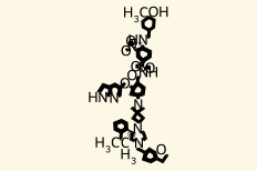 CC(C)c1ccccc1[C@@H]1CN(Cc2ccc3c(c2)OCC3)CCN1C1CC2(C1)CN(c1ccc(C(=O)NS(=O)(=O)c3ccc(NCC4CCC(C)(O)CC4)c([N+](=O)[O-])c3)c(Oc3cnc4[nH]ccc4c3)c1)C2